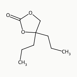 CCCC1(CCC)COC(=O)O1